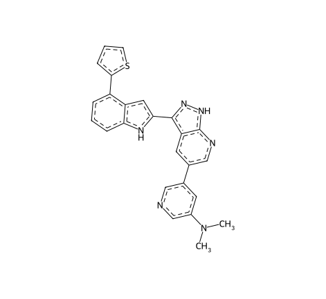 CN(C)c1cncc(-c2cnc3[nH]nc(-c4cc5c(-c6cccs6)cccc5[nH]4)c3c2)c1